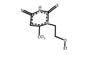 CCOCCn1c(C(Cl)(Cl)Cl)cc(=S)[nH]c1=S